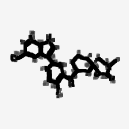 CN1C[C@]2(CCCC(Nc3nc(-c4c[nH]c5ncc(Cl)cc45)ncc3F)C2)OC1=O